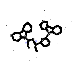 C=C/C(=N\C(=C/C)n1c2ccccc2c2cnccc21)c1cccc(-n2c3ccccc3c3cnccc32)n1